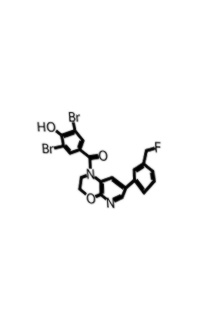 O=C(c1cc(Br)c(O)c(Br)c1)N1CCOc2ncc(-c3cccc(CF)c3)cc21